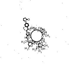 CC[C@H]1OC(=O)[C@H](C)[C@@H](C2C[C@@](C)(OC)[C@@H](O)[C@H](C)O2)[C@H](C)[C@@H](O[C@H]2C[C@@H](N(C)CCc3cn([C@H](CF)[C@H](OC)c4ccc(N5CCCC5=O)cc4)nn3)C[C@@H](C)O2)[C@](C)(O)C[C@@H](C)CCCC(C)C[C@H](C)[C@@H](O)[C@]1(C)O